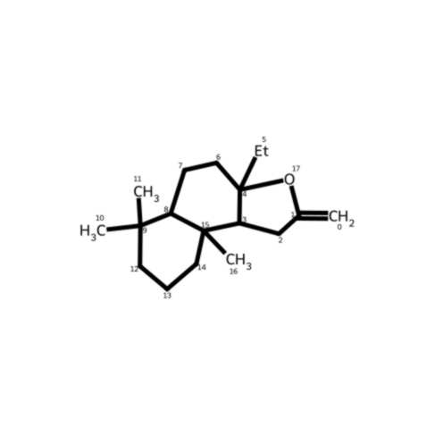 C=C1CC2C(CC)(CCC3C(C)(C)CCCC32C)O1